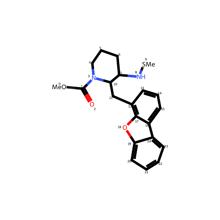 COC(=O)N1CCCC(NSC)C1Cc1cccc2c1oc1ccccc12